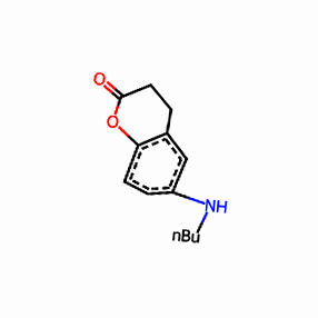 CCCCNc1ccc2c(c1)CCC(=O)O2